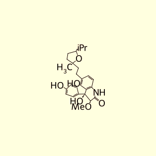 CO[C@@H]1C(=O)Nc2ccc(CC[C@@]3(C)CC[C@@H](C(C)C)O3)c(O)c2[C@@]1(O)c1ccc(O)cc1